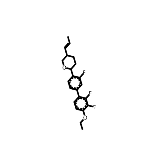 C/C=C/C1CCC(c2ccc(-c3ccc(OCC)c(F)c3F)cc2F)OC1